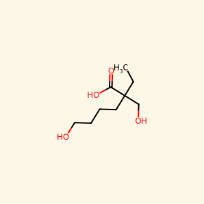 CCC(CO)(CCCCO)C(=O)O